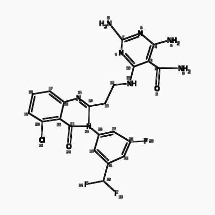 NC(=O)c1c(N)nc(N)nc1NCCc1nc2cccc(Cl)c2c(=O)n1-c1cc(F)cc(C(F)F)c1